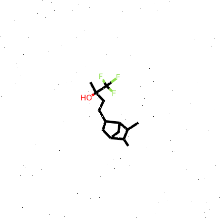 CC1C2CC(CCC(C)(O)C(F)(F)F)C(C2)C1C